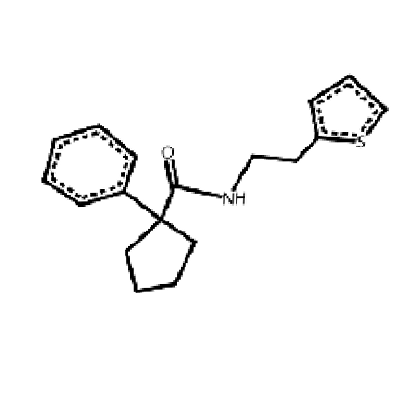 O=C(NCCc1cccs1)C1(c2ccccc2)CCCC1